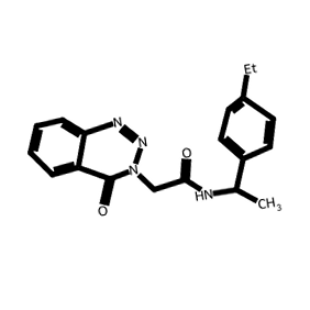 CCc1ccc(C(C)NC(=O)Cn2nnc3ccccc3c2=O)cc1